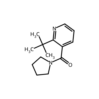 CC(C)(C)c1ncccc1C(=O)N1CCCC1